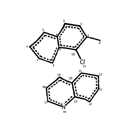 Cc1ccc2ccccc2c1Cl.c1ccc2ncccc2c1